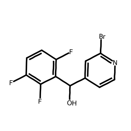 OC(c1ccnc(Br)c1)c1c(F)ccc(F)c1F